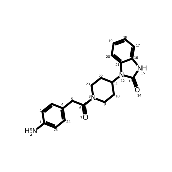 Nc1ccc(CC(=O)N2CCC(n3c(=O)[nH]c4ccccc43)CC2)cc1